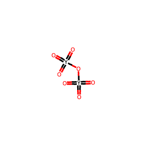 [O]=[Y](=[O])(=[O])[O][Y](=[O])(=[O])=[O]